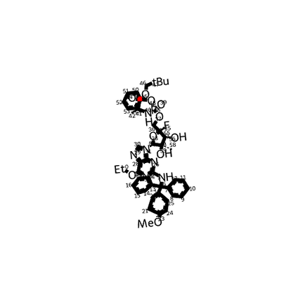 CCOc1nc(NC(c2ccccc2)(c2ccccc2)c2ccc(OC)cc2)nc2c1ncn2[C@@H]1O[C@](F)(COP(=O)(N[C@@H](C)C(=O)OCC(C)(C)C)Oc2ccccc2)[C@@H](O)[C@@]1(C)O